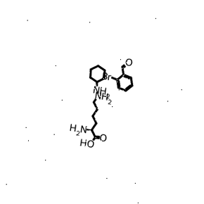 NC1CCCCC1.NCCCC[C@H](N)C(=O)O.O=Cc1ccccc1Br